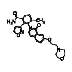 Cc1ccc(C(N)=O)c(-c2ccon2)c1-n1ccc2ccc(OCCN3CCOCC3)cc2c1=O